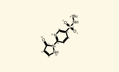 CC(C)(C)NS(=O)(=O)c1ccc(-n2[nH]c[c]c2=O)nc1